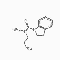 CCCCN(CCC(C)(C)C)C(=O)N1CCc2ccccc21